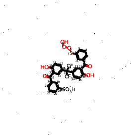 O=C(c1cccc(SOOO)c1)c1cc(C(c2ccc(O)c(C(=O)c3cccc(S(=O)(=O)O)c3)c2)(C(F)(F)F)C(F)(F)F)ccc1O